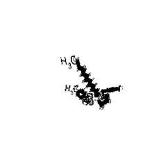 CCCCCCCCCCCCC[N+]1(CC#CI)CCCC1.Cc1ccc(S(=O)(=O)[O-])cc1